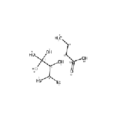 CCC(S)C(O)C(O)(O)O.CCCC(=O)O